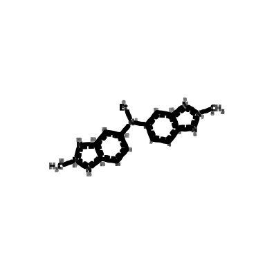 CCN(c1ccc2nn(C)nc2c1)c1ccc2nn(C)nc2c1